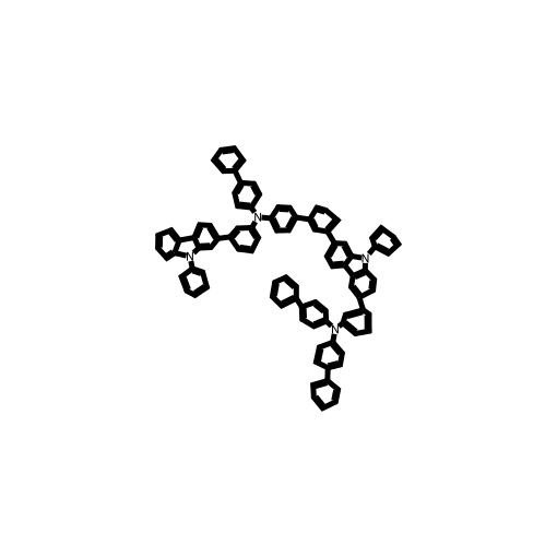 c1ccc(-c2ccc(N(c3ccc(-c4ccccc4)cc3)c3cccc(-c4ccc5c(c4)c4ccc(-c6cccc(-c7ccc(N(c8ccc(-c9ccccc9)cc8)c8cccc(-c9ccc%10c%11ccccc%11n(-c%11ccccc%11)c%10c9)c8)cc7)c6)cc4n5-c4ccccc4)c3)cc2)cc1